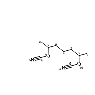 CC(CCCC(C)OC#N)OC#N